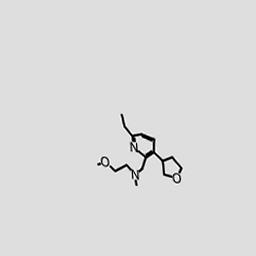 CCc1ccc(C2CCOC2)c(CN(C)CCOC)n1